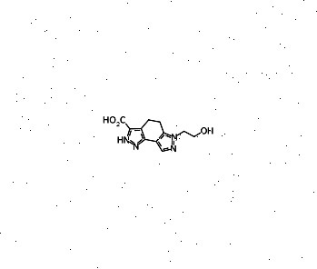 O=C(O)c1[nH]nc2c1CCc1c-2cnn1CCO